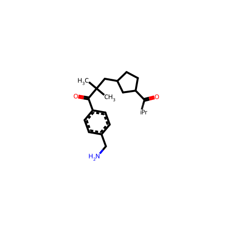 CC(C)C(=O)C1CCC(CC(C)(C)C(=O)c2ccc(CN)cc2)C1